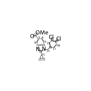 COC(=O)c1ccc2c(c1)nc(C1CC1)n2Cc1ccc(Cl)c(Cl)c1